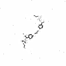 CCCCS(=O)(=O)ON=C(CF)c1ccc(OCCCOc2ccc(C(=NOS(=O)(=O)CCCC)C(F)(F)F)cc2)cc1